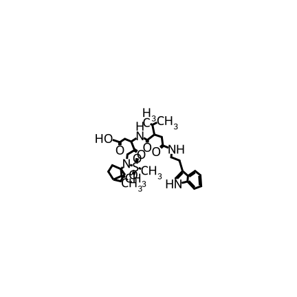 CC(C)C(CC(=O)NCCc1c[nH]c2ccccc12)C(=O)NC(CC(=O)O)C(=O)CN(C12CCC(CC1)C2(C)C)S(C)(=O)=O